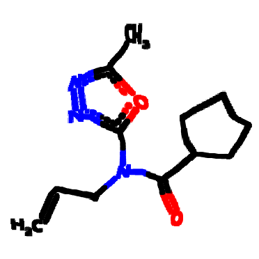 C=CCN(C(=O)C1CCCC1)c1nnc(C)o1